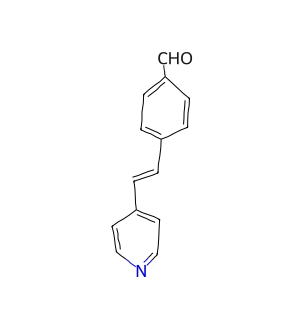 O=Cc1ccc(/C=C/c2ccncc2)cc1